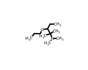 CCCOC(CC)C(C)(C)N(C)C